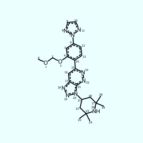 COCOc1cc(-n2nccn2)ccc1-c1cc2nnn(C3CC(C)(C)NC(C)(C)C3)c2nn1